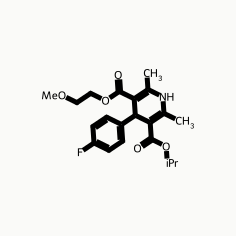 COCCOC(=O)C1=C(C)NC(C)=C(C(=O)OC(C)C)C1c1ccc(F)cc1